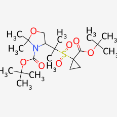 CC(C)(C)OC(=O)N1C(C(C)(C)S(=O)(=O)C2(C(=O)OC(C)(C)C)CC2)COC1(C)C